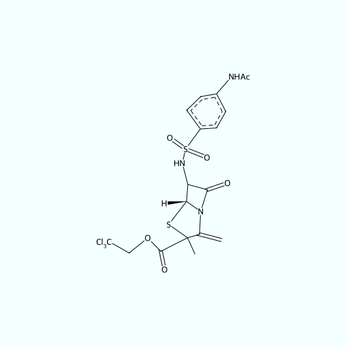 C=C1N2C(=O)C(NS(=O)(=O)c3ccc(NC(C)=O)cc3)[C@H]2SC1(C)C(=O)OCC(Cl)(Cl)Cl